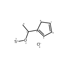 CC([O][Ti+])C1=CC=CC1.[Cl-]